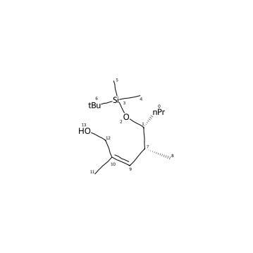 CCC[C@@H](O[Si](C)(C)C(C)(C)C)[C@H](C)/C=C(/C)CO